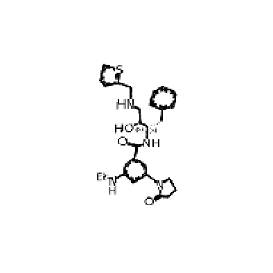 CCNc1cc(C(=O)N[C@@H](Cc2ccccc2)[C@@H](O)CNCc2cccs2)cc(N2CCCC2=O)c1